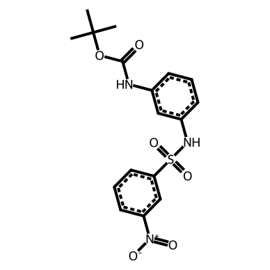 CC(C)(C)OC(=O)Nc1cccc(NS(=O)(=O)c2cccc([N+](=O)[O-])c2)c1